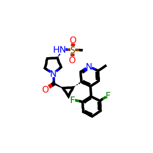 Cc1cc(-c2c(F)cccc2F)c([C@@H]2C[C@H]2C(=O)N2CC[C@H](NS(C)(=O)=O)C2)cn1